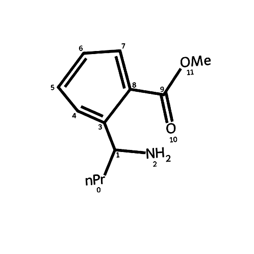 CCCC(N)c1ccccc1C(=O)OC